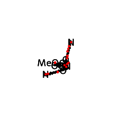 COC(=O)c1cc(C)c(OC(=O)c2c3cc(OCCCCCCCCCCCCN(C)C)ccc3nc3ccc(OCCCCCCCCCCCCN(C)C)cc23)c(C)c1